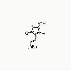 CCCCC=CC1=C(C)C(O)CC1=O